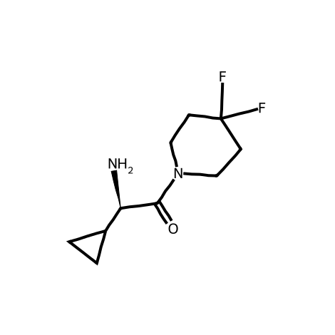 N[C@@H](C(=O)N1CCC(F)(F)CC1)C1CC1